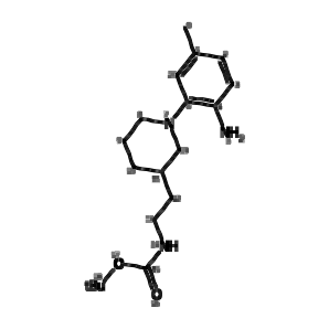 Cc1ccc(N)c(N2CCCC(CCNC(=O)OC(C)(C)C)C2)c1